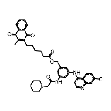 CC1=C(CCCCCC(=O)OCc2cc(NC(=O)CN3CCCCC3)cc(Nc3ccnc4cc(Cl)ccc34)c2)C(=O)c2ccccc2C1=O